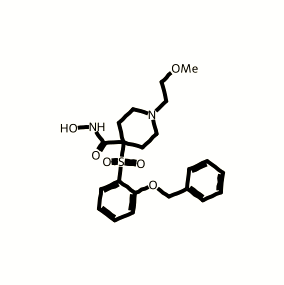 COCCN1CCC(C(=O)NO)(S(=O)(=O)c2ccccc2OCc2ccccc2)CC1